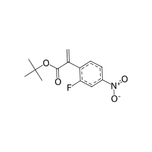 C=C(C(=O)OC(C)(C)C)c1ccc([N+](=O)[O-])cc1F